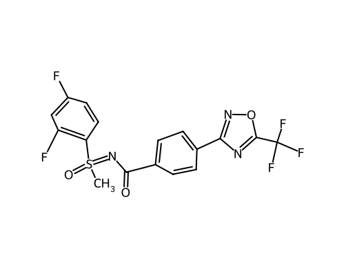 CS(=O)(=NC(=O)c1ccc(-c2noc(C(F)(F)F)n2)cc1)c1ccc(F)cc1F